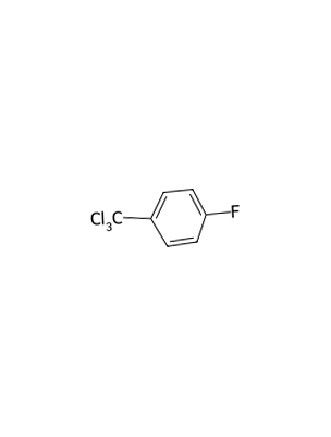 Fc1ccc(C(Cl)(Cl)Cl)cc1